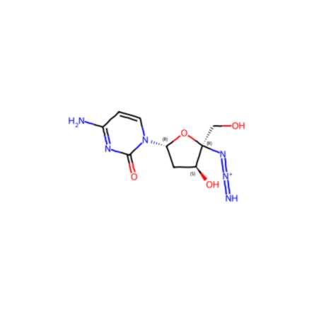 N=[N+]=N[C@]1(CO)O[C@@H](n2ccc(N)nc2=O)C[C@@H]1O